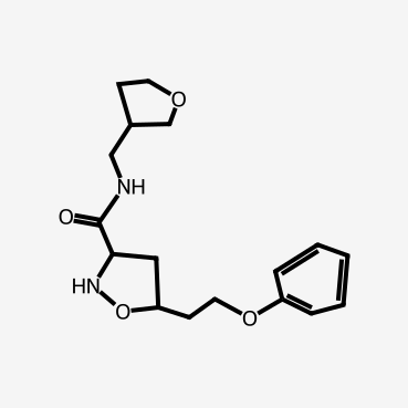 O=C(NCC1CCOC1)C1CC(CCOc2ccccc2)ON1